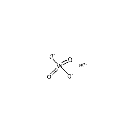 [Ni+2].[O]=[W](=[O])([O-])[O-]